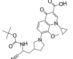 COc1c(N2CCC(CC(C#N)NC(=O)OC(C)(C)C)C2)ccc2c(=O)c(C(=O)O)cn(C3CC3)c12